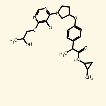 CC(O)COc1ncnc(N2CCC(Oc3ccc(C(C)C(=O)NC4CC4C)cc3)C2)c1Cl